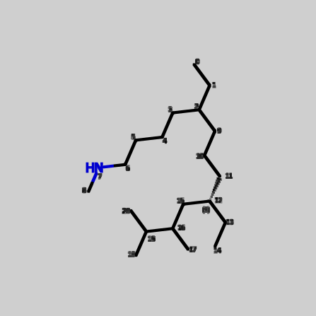 CCC(CCCCNC)CCC[C@H](CC)CC(C)C(C)C